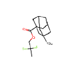 CC(F)(F)COC(=O)C12CC3CC(C1)CC(C(C)(C)C)(C3)C2